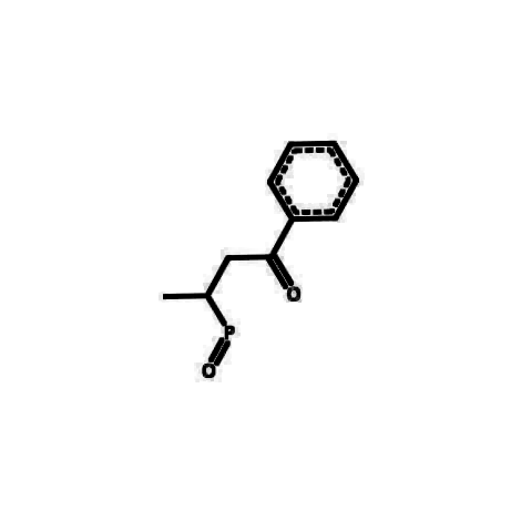 CC(CC(=O)c1ccccc1)P=O